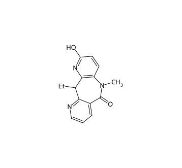 CCC1c2ncccc2C(=O)N(C)c2ccc(O)nc21